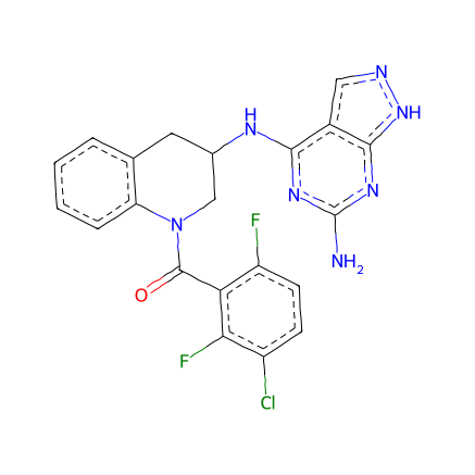 Nc1nc(NC2Cc3ccccc3N(C(=O)c3c(F)ccc(Cl)c3F)C2)c2cn[nH]c2n1